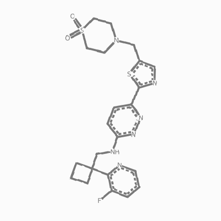 O=S1(=O)CCN(Cc2cnc(-c3ccc(NCC4(c5ncccc5F)CCC4)nn3)s2)CC1